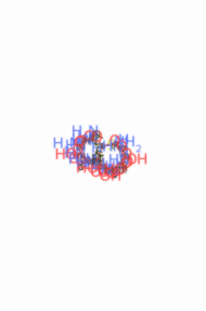 CC(C[C@@H]1NC(=O)[C@H](Cc2ccccc2)NC(=O)[C@H](CC(=O)O)NC(=O)[C@H](CCC(=O)O)NC(=O)[C@H]2CSCc3cc(cc(c3)CSC[C@H](NC(=O)[C@H](C)N)C(=O)N[C@H](C)C(=O)N[C@@H](CC(N)=O)C(=O)N[C@@H](CCC(=O)O)C(=O)N[C@@H](Cc3cccc4ccccc34)C(=O)N[C@H](C)N2)CSC[C@@H](C(N)=O)NC(=O)[C@H](C(C)(C)C)NC(=O)[C@H](CC(=O)O)NC1=O)[C@H](C)O